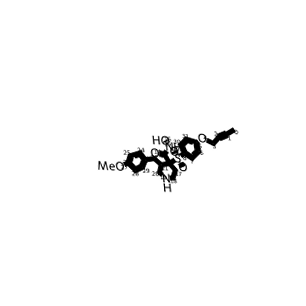 CC#CCOc1ccc(S(=O)(=O)C2(C(=O)NO)CCNCC2Cc2ccc(OC)cc2)cc1